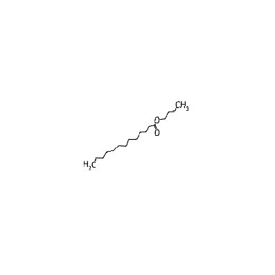 C=CCCCCCCCCCCC(=O)OCCCC